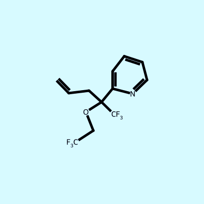 C=CCC(OCC(F)(F)F)(c1ccccn1)C(F)(F)F